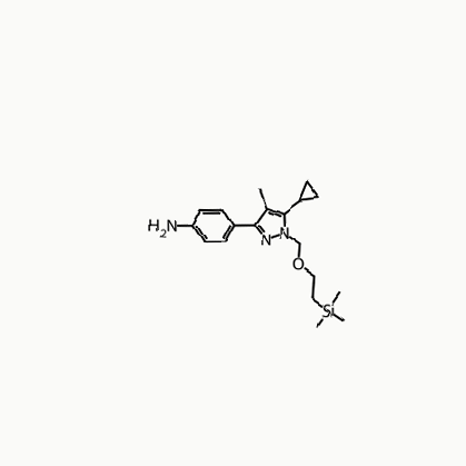 Cc1c(-c2ccc(N)cc2)nn(COCC[Si](C)(C)C)c1C1CC1